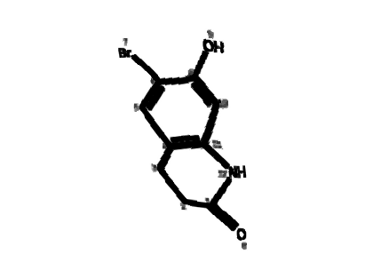 O=C1CCc2cc(Br)c(O)cc2N1